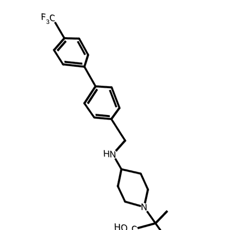 CC(C)(C)CC(C)(C(=O)O)N1CCC(NCc2ccc(-c3ccc(C(F)(F)F)cc3)cc2)CC1